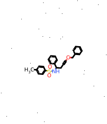 Cc1ccc(S(=O)(=O)NC(CC#COCc2ccccc2)c2ccccc2)cc1